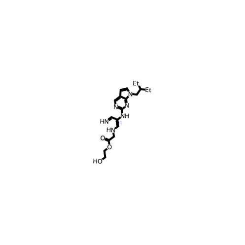 CCC(CC)Cn1ccc2cnc(N/C(C=N)=C/NCC(=O)OCCO)nc21